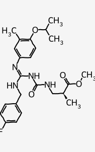 COC(=O)[C@@H](C)CNC(=O)N/C(=N\c1ccc(OC(C)C)c(C)c1)NCc1ccc(F)cc1